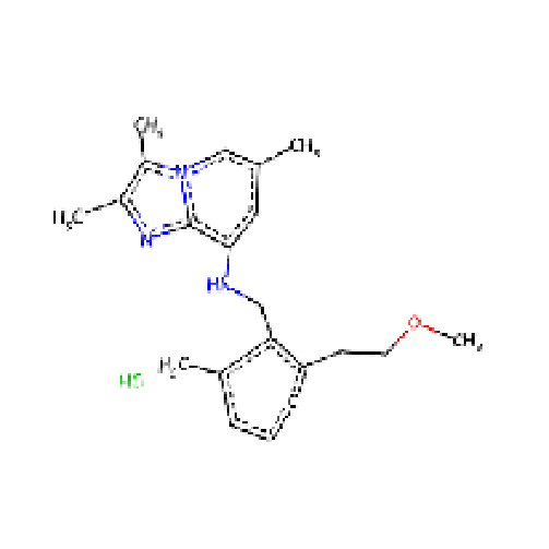 COCCc1cccc(C)c1CNc1cc(C)cn2c(C)c(C)nc12.Cl